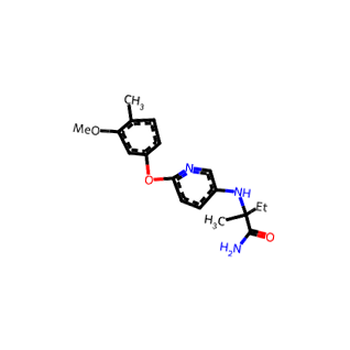 CCC(C)(Nc1ccc(Oc2ccc(C)c(OC)c2)nc1)C(N)=O